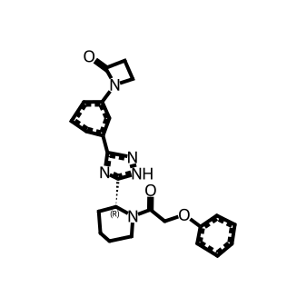 O=C1CCN1c1cccc(-c2n[nH]c([C@H]3CCCCN3C(=O)COc3ccccc3)n2)c1